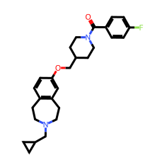 O=C(c1ccc(F)cc1)N1CCC(COc2ccc3c(c2)CCN(CC2CC2)CC3)CC1